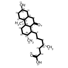 C[C@@H](CCCC1C2C(=O)CC3C[C@H](O)CC[C@]3(C)C2CC[C@H]1C)CCC(=O)O